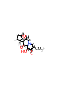 O=C(O)c1cn2c(c(O)c1=O)C(=O)C1[C@H]3CC[C@H](C3)O[C@@H]1C2